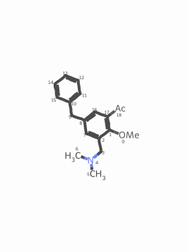 COc1c(CN(C)C)cc(Cc2ccccc2)cc1C(C)=O